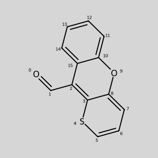 O=CC1=C2SC=CC=C2Oc2ccccc21